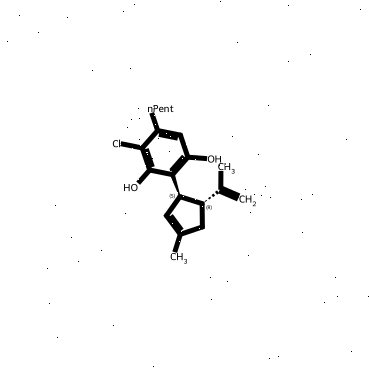 C=C(C)[C@@H]1CC(C)=C[C@H]1c1c(O)cc(CCCCC)c(Cl)c1O